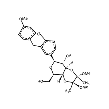 COc1ccc(Cc2cc([C@@H]3O[C@H](CO)[C@H]4O[C@](C)(OC)[C@@](C)(OC)O[C@@H]4[C@H]3O)ccc2Cl)cc1